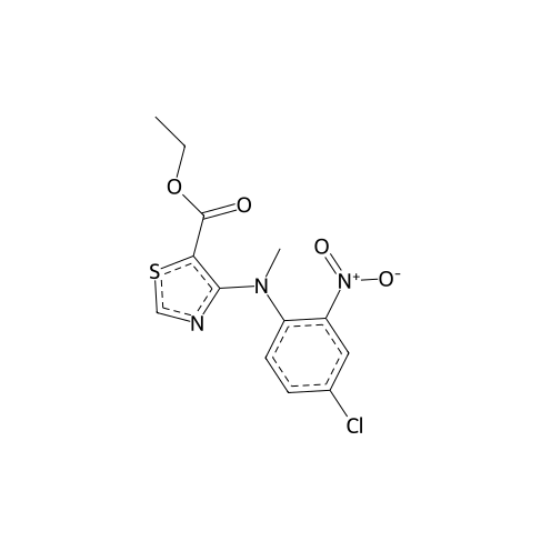 CCOC(=O)c1scnc1N(C)c1ccc(Cl)cc1[N+](=O)[O-]